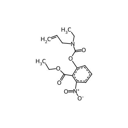 C=CCN(CC)C(=O)Oc1cccc([N+](=O)[O-])c1C(=O)OCC